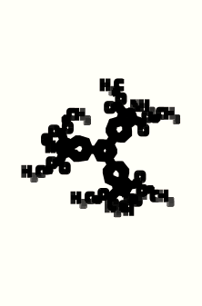 CCOC(=O)c1c2ccc(-c3cc(-c4ccc5c(C(=O)OCC)c(N=O)c(C(=O)OCC)c-5cc4)cc(-c4ccc5c(C(=O)OCC)c([NH+](C)[O-])c(C(=O)OCC)c-5cc4)c3)ccc-2c(C(=O)OCC)c1N